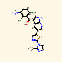 Cc1nccn1-c1ncc(-c2cnc3[nH]cc(C(=O)c4c(F)ccc(N)c4F)c3c2)s1